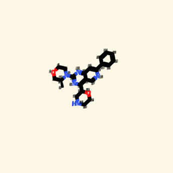 C[C@H]1COCCN1c1nc(C2CNCCO2)c2cnc(-c3ccccc3)cc2n1